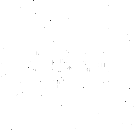 Cc1cn(-c2ccnc3[nH]c(-c4n[nH]c5ccc(-c6cnccc6C)c(F)c45)nc23)cn1